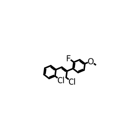 COc1ccc(C(=Cc2ccccc2Cl)CCl)c(F)c1